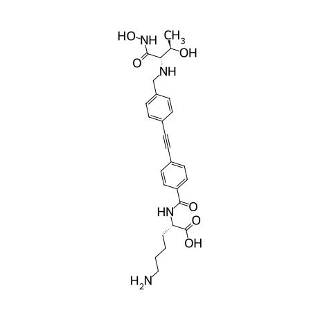 C[C@@H](O)[C@H](NCc1ccc(C#Cc2ccc(C(=O)N[C@@H](CCCCN)C(=O)O)cc2)cc1)C(=O)NO